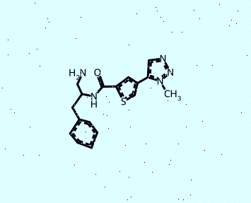 Cn1nncc1-c1csc(C(=O)NC(CN)Cc2ccccc2)c1